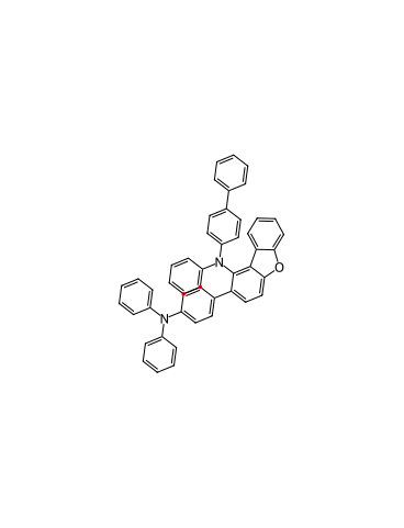 c1ccc(-c2ccc(N(c3ccccc3)c3c(-c4ccc(N(c5ccccc5)c5ccccc5)cc4)ccc4oc5ccccc5c34)cc2)cc1